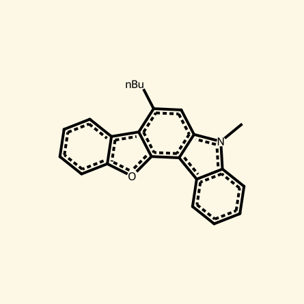 CCCCc1cc2c(c3ccccc3n2C)c2oc3ccccc3c12